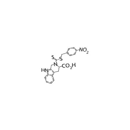 O=C(O)C1Cc2c([nH]c3ccccc23)CN1C(=S)SCc1ccc([N+](=O)[O-])cc1